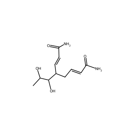 CC(O)C(O)C(C=CC(N)=O)CC=CC(N)=O